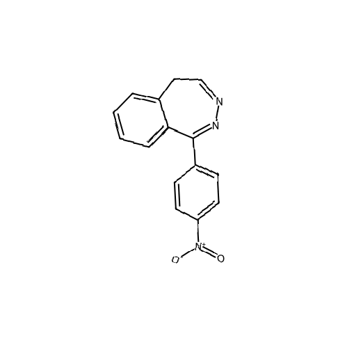 O=[N+]([O-])c1ccc(C2=NN=CCc3ccccc32)cc1